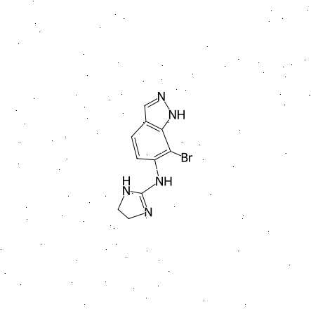 Brc1c(NC2=NCCN2)ccc2cn[nH]c12